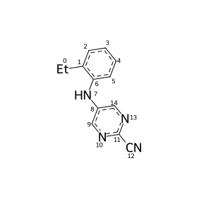 CCc1ccccc1Nc1cnc(C#N)nc1